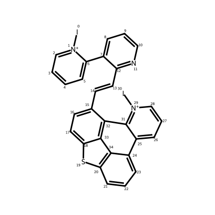 I[n+]1ccccc1-c1cccnc1/C=C/c1ccc2sc3cccc4c5ccc[n+](I)c5c1c2c34